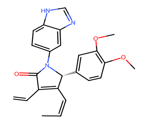 C=CC1=C(/C=C\C)[C@@H](c2ccc(OC)c(OC)c2)N(c2ccc3[nH]cnc3c2)C1=O